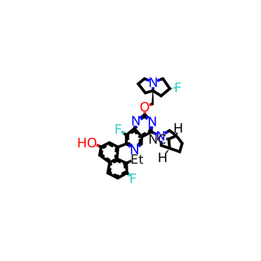 CCc1c(F)ccc2cc(O)cc(-c3ncc4c(N5C[C@H]6CC[C@@H](C5)C6C#N)nc(OC[C@@]56CCCN5C[C@H](F)C6)nc4c3F)c12